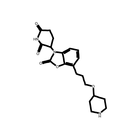 O=C1CCC(n2c(=O)oc3c(CCCOC4CCNCC4)cccc32)C(=O)N1